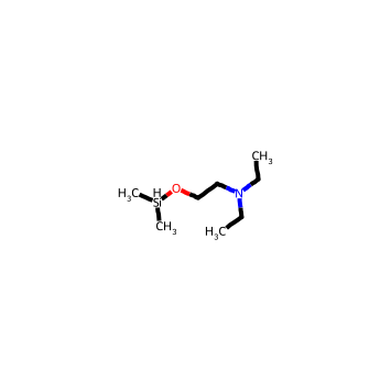 CCN(CC)CCO[SiH](C)C